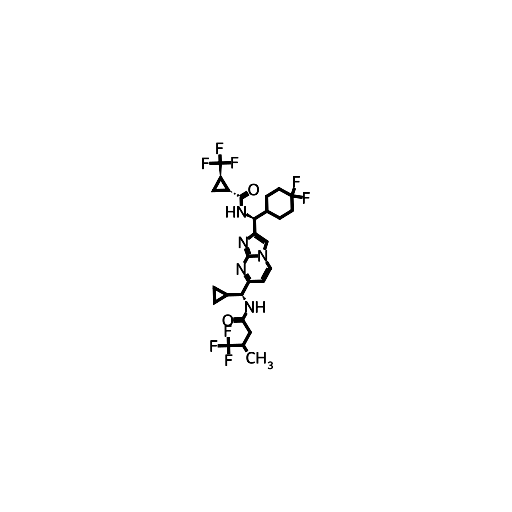 CC(CC(=O)N[C@@H](c1ccn2cc([C@@H](NC(=O)[C@@H]3C[C@H]3C(F)(F)F)C3CCC(F)(F)CC3)nc2n1)C1CC1)C(F)(F)F